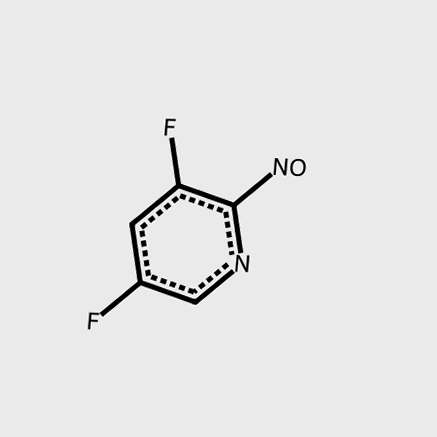 O=Nc1ncc(F)cc1F